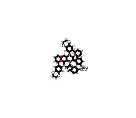 CC(C)(C)c1ccc2sc3c(c2c1)B1c2c(cccc2N(c2cc4c(cc2-c2ccccc2)OCCO4)c2sc4ccc(C(C)(C)C)cc4c21)N3c1cc2c(cc1-c1ccccc1)OCCO2